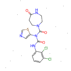 O=C1CCN(C(=O)N(C(=O)Nc2cccc(Cl)c2Cl)c2cncs2)CCN1